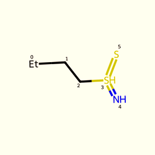 CCCC[SH](=N)=S